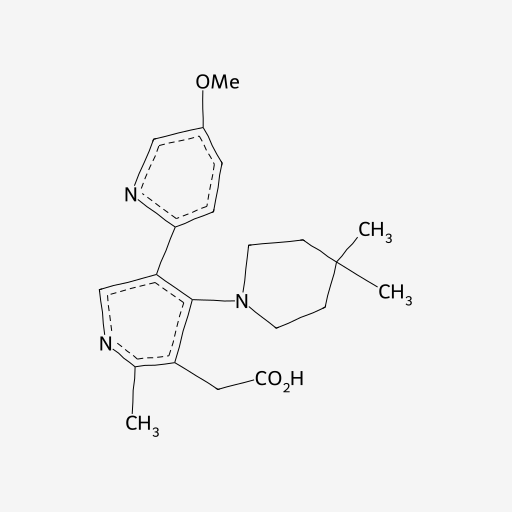 COc1ccc(-c2cnc(C)c(CC(=O)O)c2N2CCC(C)(C)CC2)nc1